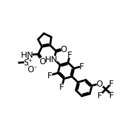 C[S+]([O-])NC(=O)C1=C(C(=O)Nc2c(F)c(F)c(-c3cccc(OC(F)(F)F)c3)c(F)c2F)CCC1